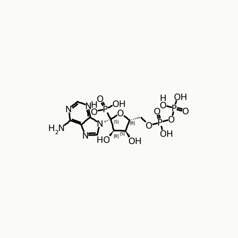 Nc1ncnc2c1ncn2[C@]1(P(=O)(O)O)O[C@H](COP(=O)(O)OP(=O)(O)O)[C@@H](O)[C@H]1O